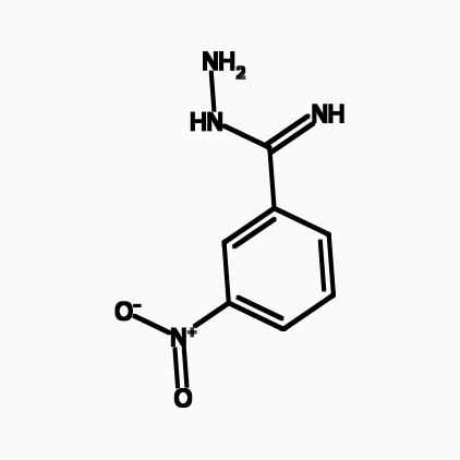 N=C(NN)c1cccc([N+](=O)[O-])c1